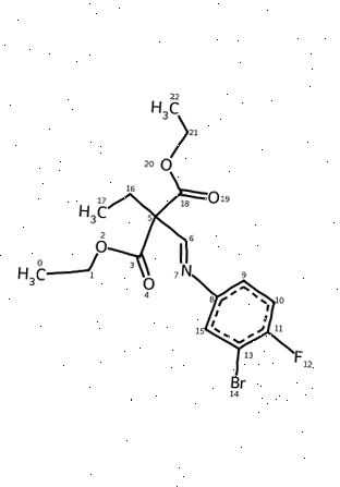 CCOC(=O)C(C=Nc1ccc(F)c(Br)c1)(CC)C(=O)OCC